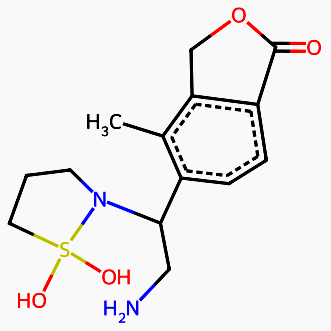 Cc1c(C(CN)N2CCCS2(O)O)ccc2c1COC2=O